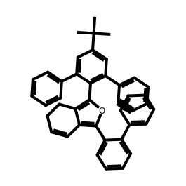 CC(C)(C)c1cc(-c2c#cccc2)c(-c2oc(-c3ccccc3-c3ccccc3)c3c2CCC=C3)c(-c2ccccc2)c1